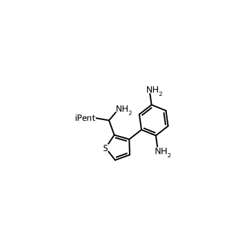 CCCC(C)C(N)c1sccc1-c1cc(N)ccc1N